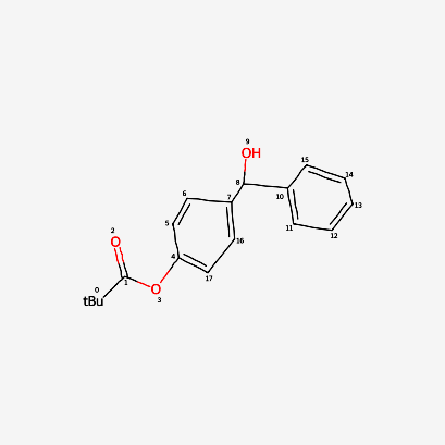 CC(C)(C)C(=O)Oc1ccc(C(O)c2ccccc2)cc1